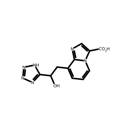 O=C(O)c1cnc2c(CC(O)c3nnn[nH]3)cccn12